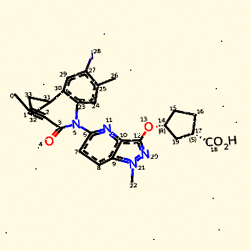 CC#CC(=O)N(c1ccc2c(n1)c(O[C@@H]1CC[C@H](C(=O)O)C1)nn2C)c1cc(C)c(I)cc1C1CC1